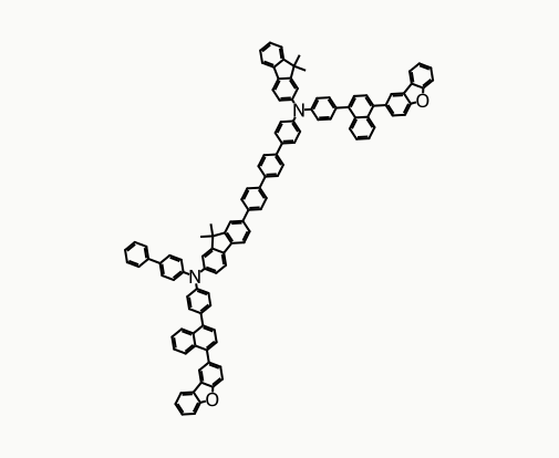 CC1(C)c2ccccc2-c2ccc(N(c3ccc(-c4ccc(-c5ccc(-c6ccc7c(c6)C(C)(C)c6cc(N(c8ccc(-c9ccccc9)cc8)c8ccc(-c9ccc(-c%10ccc%11oc%12ccccc%12c%11c%10)c%10ccccc9%10)cc8)ccc6-7)cc5)cc4)cc3)c3ccc(-c4ccc(-c5ccc6oc7ccccc7c6c5)c5ccccc45)cc3)cc21